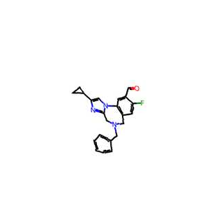 O=Cc1cc2c(cc1F)CN(Cc1ccccc1)Cc1nc(C3CC3)cn1-2